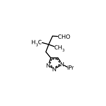 CC(C)n1cc(CC(C)(C)CC=O)nn1